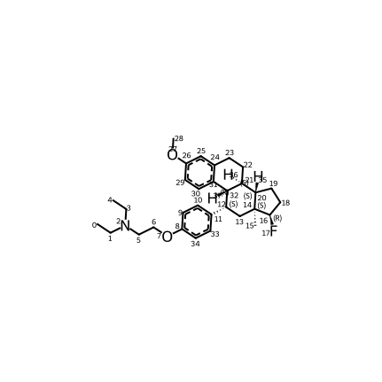 CCN(CC)CCOc1ccc([C@H]2C[C@]3(C)[C@H](F)CC[C@H]3[C@@H]3CCc4cc(OC)ccc4[C@H]32)cc1